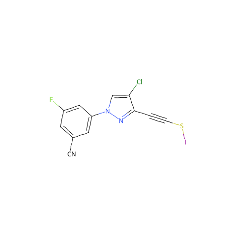 N#Cc1cc(F)cc(-n2cc(Cl)c(C#CSI)n2)c1